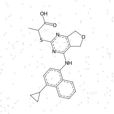 CC(Sc1nc2c(c(Nc3ccc(C4CC4)c4ccccc34)n1)COC2)C(=O)O